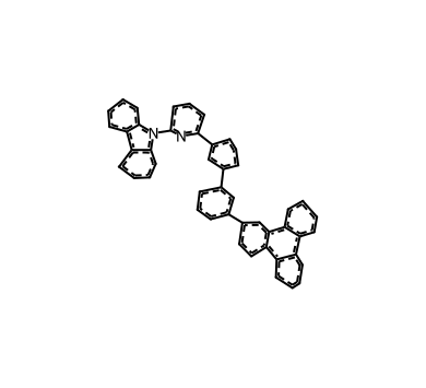 c1cc(-c2cccc(-c3cccc(-n4c5ccccc5c5ccccc54)n3)c2)cc(-c2ccc3c4ccccc4c4ccccc4c3c2)c1